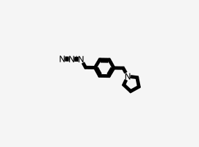 [N-]=[N+]=NCc1ccc(CN2CCCC2)cc1